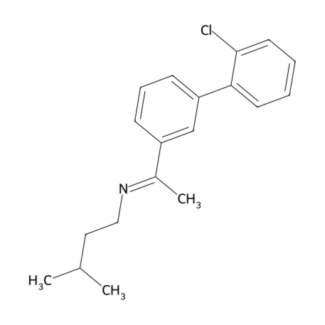 C/C(=N\CCC(C)C)c1cccc(-c2ccccc2Cl)c1